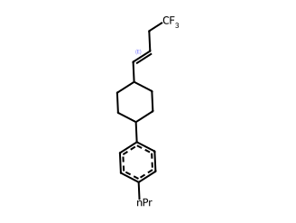 CCCc1ccc(C2CCC(/C=C/CC(F)(F)F)CC2)cc1